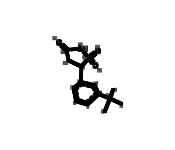 CC(C)(C)c1cccc(C2CC(=O)NS2(=O)=O)c1